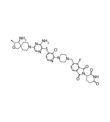 C[C@@H]1OCC2(CCN(c3cnc(Sc4ccnc(N5CCN(Cc6ccc7c(c6F)C(=O)N(C6CCC(=O)NC6=O)C7=O)CC5)c4Cl)c(N)n3)CC2)[C@@H]1N